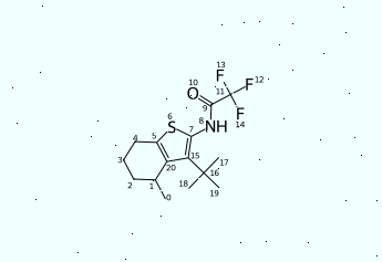 CC1CCCc2sc(NC(=O)C(F)(F)F)c(C(C)(C)C)c21